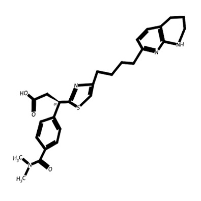 CN(C)C(=O)c1ccc([C@@H](CC(=O)O)c2nc(CCCCc3ccc4c(n3)NCCC4)cs2)cc1